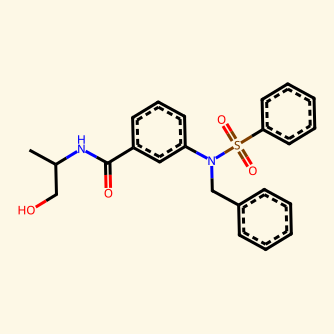 CC(CO)NC(=O)c1cccc(N(Cc2ccccc2)S(=O)(=O)c2ccccc2)c1